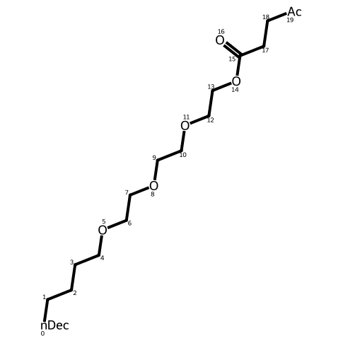 CCCCCCCCCCCCCCOCCOCCOCCOC(=O)CCC(C)=O